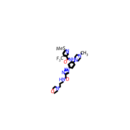 CSc1cc(C(F)(F)F)c(C(=O)Nc2cc(-n3cc(C(=O)NCCCN4CCOCC4)nn3)ccc2N2CCN(C)CC2)cn1